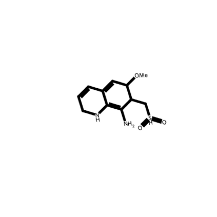 COC1C=C2C=CCNC2=C(N)C1C[SH](=O)=O